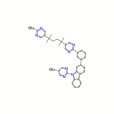 CC(C)(C)c1cnc(-n2c3ccccc3c3ccc(-c4cccc(-c5ncc(C(C)(C)CCC(C)(C)c6cnc(C(C)(C)C)nc6)cn5)c4)cc32)nc1